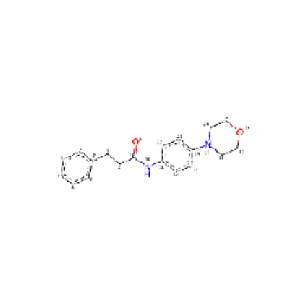 O=C(CCc1ccccc1)Nc1ccc(N2CCOCC2)cc1